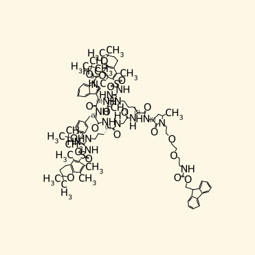 CC(=O)N[C@H](C(=O)N[C@@H](Cc1ccc(OC(C)(C)C)cc1)C(=O)N[C@@H](CCCNC(=N)NS(=O)(=O)c1c(C)c(C)c2c(c1C)CCC(C)(C)O2)C(=O)NCC(=O)N[C@@H](CCCNC(=N)NS(=O)(=O)c1c(C)c(C)c2c(c1C)CCC(C)(C)O2)C(=O)N[C@H]1CC(C)N(CCOCCOCCNC(=O)OCC2c3ccccc3-c3ccccc32)C1=O)c1cn(C(=O)OC(C)(C)C)c2ccccc12